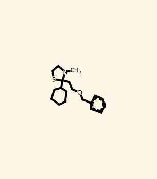 CN1CCSC1(CCOCc1ccccc1)C1CCCCC1